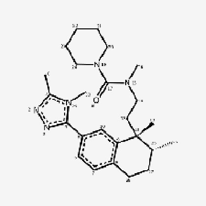 Cc1nnc(-c2ccc3c(c2)[C@](C)(CCN(C)C(=O)N2CCCCC2)[C@H](C)CC3)n1C